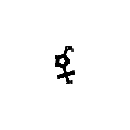 Cc1nnc(S(=S)(=S)S)s1